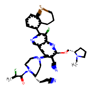 C=C(F)C(=O)N1CCN(c2c(C#N)c(OC[C@@H]3CCCN3C)nc3c(F)c(-c4cccc5c4CCCS5)ncc23)C[C@@H]1CC#N